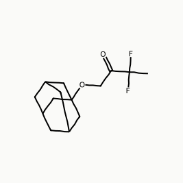 CC(F)(F)C(=O)COC12CC3CC(CC(C3)C1)C2